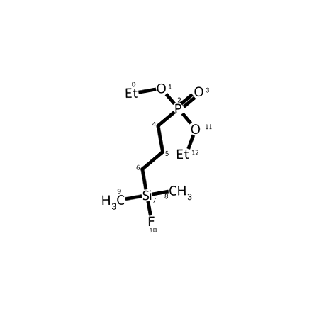 CCOP(=O)(CCC[Si](C)(C)F)OCC